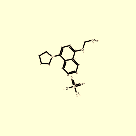 COCOc1ccc([S+]2CCCC2)c2ccccc12.O=S(=O)([O-])C(F)(F)F